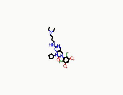 CCN(CC)CCCCNc1ncc2c(n1)N(C1CCCC1)C(=O)N(c1c(F)c(OC)cc(OC)c1F)C2